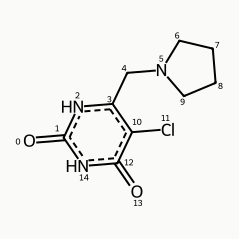 O=c1[nH]c(CN2CCCC2)c(Cl)c(=O)[nH]1